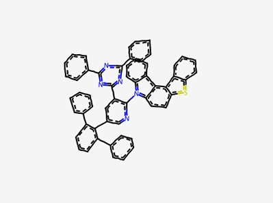 c1ccc(-c2nc(-c3ccccc3)nc(-c3cc(-c4c(-c5ccccc5)cccc4-c4ccccc4)cnc3-n3c4ccccc4c4c5c(ccc43)sc3ccccc35)n2)cc1